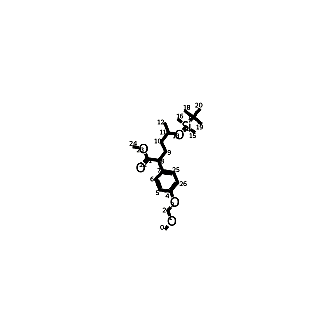 COCOc1ccc(C(CCC(C)O[Si](C)(C)C(C)(C)C)C(=O)OC)cc1